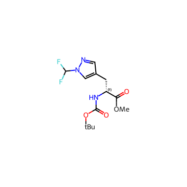 COC(=O)[C@@H](Cc1cnn(C(F)F)c1)NC(=O)OC(C)(C)C